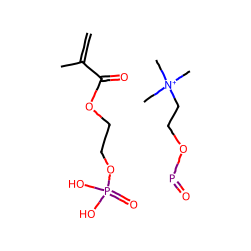 C=C(C)C(=O)OCCOP(=O)(O)O.C[N+](C)(C)CCOP=O